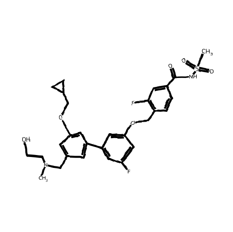 CN(CCO)Cc1cc(OCC2CC2)cc(-c2cc(F)cc(OCc3ccc(C(=O)NS(C)(=O)=O)cc3F)c2)c1